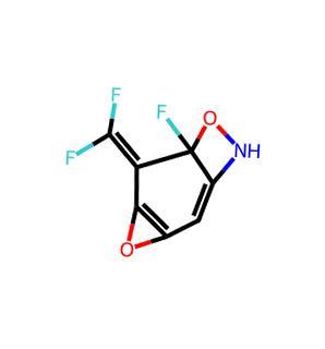 FC(F)=C1C2=C(C=C3NOC31F)O2